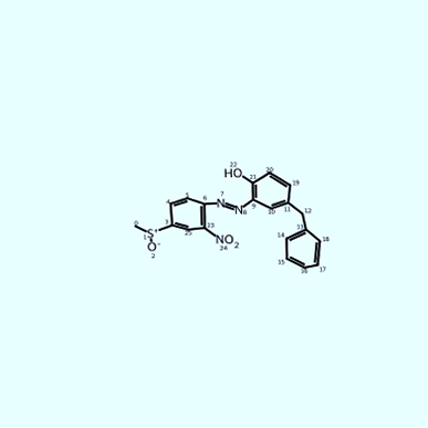 C[S+]([O-])c1ccc(N=Nc2cc(Cc3ccccc3)ccc2O)c([N+](=O)[O-])c1